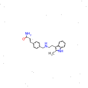 Cc1[nH]c2ccccc2c1CCNCc1ccc(C=CC(N)=O)cc1